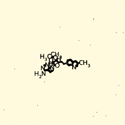 Cc1cnc2cc(CCC3O[C@@H](n4ccc5c(N)ncnc54)[C@@H]4OC(C)(C)O[C@H]34)ccc2c1